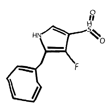 O=[SH](=O)c1c[nH]c(-c2ccccc2)c1F